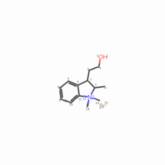 CC1C(CCO)c2ccccc2[N+]1(C)C.[Br-]